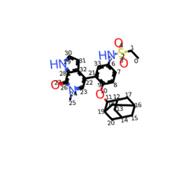 CCS(=O)(=O)Nc1ccc(OC2C3CC4CC(C3)CC2C4)c(-c2cn(C)c(=O)c3[nH]ccc23)c1